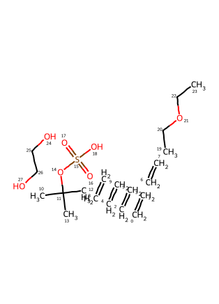 C=C.C=C.C=C.C=C.C=C.CC(C)(C)OS(=O)(=O)O.CCOCC.OCCO